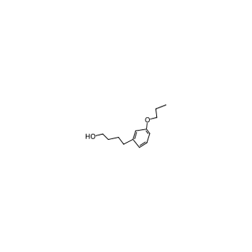 CCCOc1cccc(CCCCO)c1